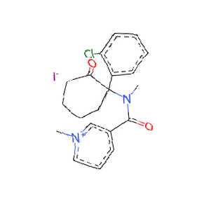 CN(C(=O)c1ccc[n+](C)c1)C1(c2ccccc2Cl)CCCCC1=O.[I-]